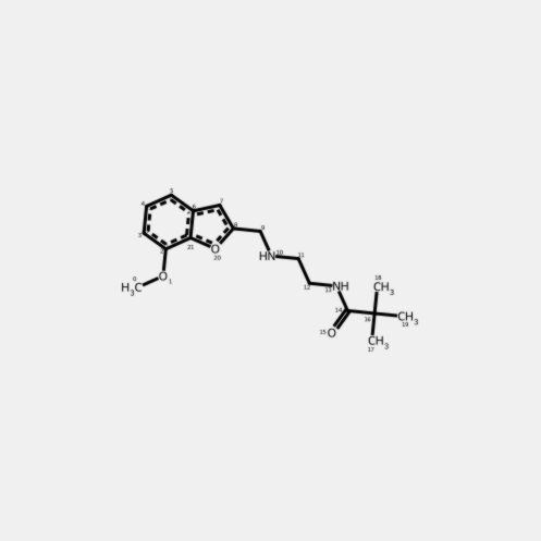 COc1cccc2cc(CNCCNC(=O)C(C)(C)C)oc12